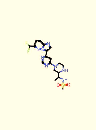 CC(NS(C)(=O)=O)C1CN(c2cc(-c3cnc4ccc(C(F)F)nn34)ncn2)CCN1